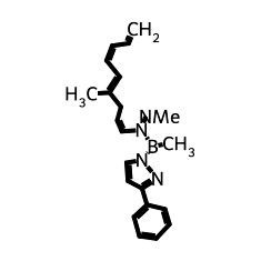 C=C/C=C\C=C(/C)C/C=C\N(NC)B(C)n1ccc(-c2ccccc2)n1